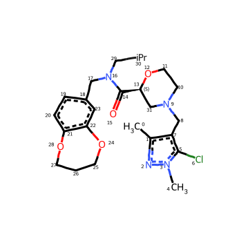 Cc1nn(C)c(Cl)c1CN1CCO[C@H](C(=O)N(Cc2ccc3c(c2)OCCCO3)CC(C)C)C1